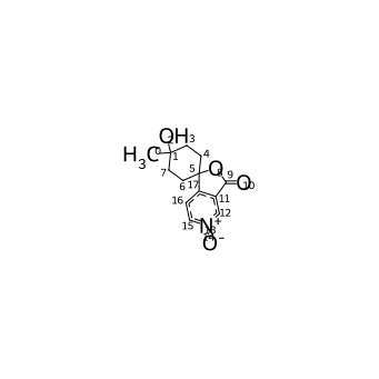 CC1(O)CCC2(CC1)OC(=O)c1c[n+]([O-])ccc12